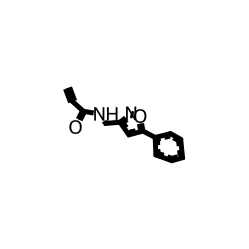 C#CC(=O)NCc1cc(-c2ccccc2)on1